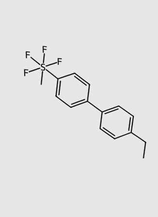 CCc1ccc(-c2ccc(S(C)(F)(F)(F)F)cc2)cc1